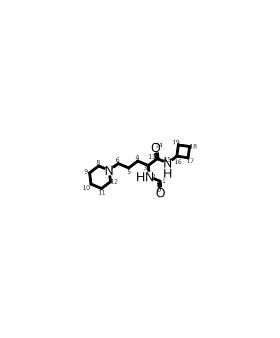 O=CNC(CCCN1CCCCC1)C(=O)NC1CCC1